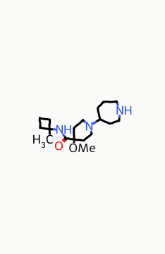 COC1(C(=O)NC2(C)CCC2)CCN(C2CCCNCC2)CC1